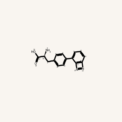 N[C@@H](Cc1ccc(-c2cccc3c2N=N3)cc1)C(=O)O